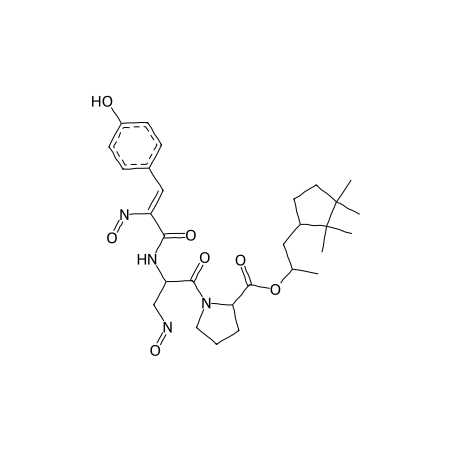 CC(CC1CCC(C)(C)C1(C)C)OC(=O)C1CCCN1C(=O)C(CN=O)NC(=O)/C(=C/c1ccc(O)cc1)N=O